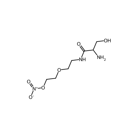 NC(CO)C(=O)NCCOCCO[N+](=O)[O-]